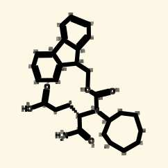 NC(=O)[C@H](CCC(=O)O)N(C(=O)OCC1c2ccccc2-c2ccccc21)C1CCCCCCC1